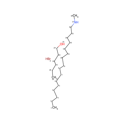 Br.CCCCCCCCCCCCCCCCNC.CCCCCCO